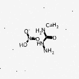 NNC(N)=O.O=[N+]([O-])O.[CaH2]